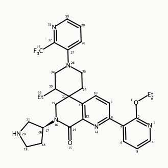 CCOc1ncccc1-c1ccc2c(n1)C(=O)N([C@H]1CCNC1)CC21CCN(c2cccnc2C(F)(F)F)CC1CC